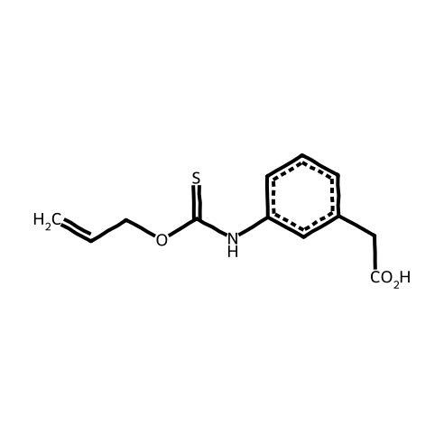 C=CCOC(=S)Nc1cccc(CC(=O)O)c1